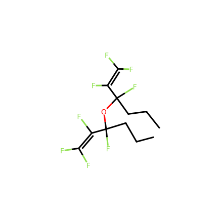 CCCC(F)(OC(F)(CCC)C(F)=C(F)F)C(F)=C(F)F